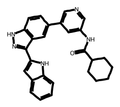 O=C(Nc1cncc(-c2ccc3[nH]nc(-c4cc5ccccc5[nH]4)c3c2)c1)C1CCCCC1